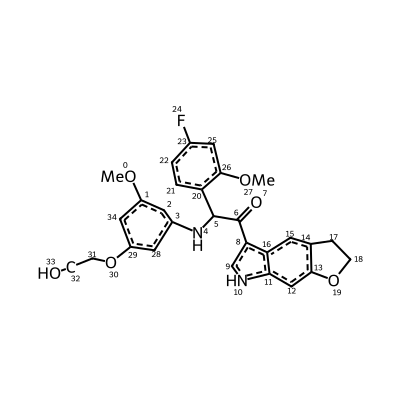 COc1cc(NC(C(=O)c2c[nH]c3cc4c(cc23)CCO4)c2ccc(F)cc2OC)cc(OCCO)c1